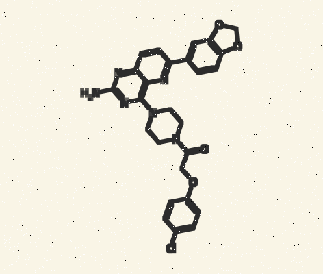 Nc1nc(N2CCN(C(=O)COc3ccc(Cl)cc3)CC2)c2nc(-c3ccc4c(c3)OCO4)ccc2n1